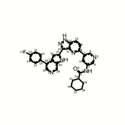 O=C(Nc1cncc(-c2ccc3[nH]nc(-c4cc5c(-c6ccc(F)cc6)cncc5[nH]4)c3n2)c1)C1CCCCC1